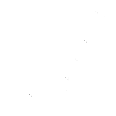 Cc1cccc(F)c1-c1nccc2c1CN(c1cccc(N3CCC(N)C3)n1)C2=O